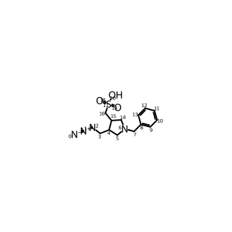 [N-]=[N+]=NCC1CN(Cc2ccccc2)CC1CS(=O)(=O)O